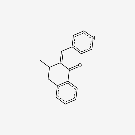 CC1Cc2ccccc2C(=O)C1=Cc1ccncc1